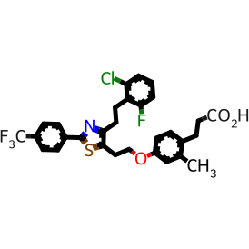 Cc1cc(OCCc2sc(-c3ccc(C(F)(F)F)cc3)nc2CCc2c(F)cccc2Cl)ccc1CCC(=O)O